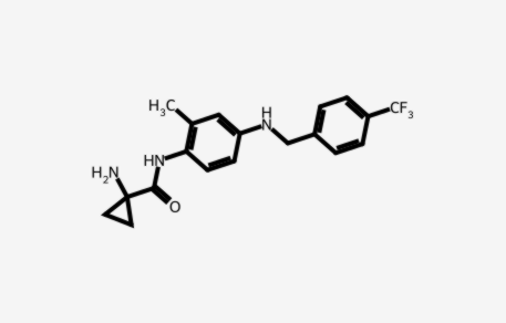 Cc1cc(NCc2ccc(C(F)(F)F)cc2)ccc1NC(=O)C1(N)CC1